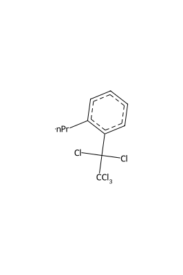 CC[CH]c1ccccc1C(Cl)(Cl)C(Cl)(Cl)Cl